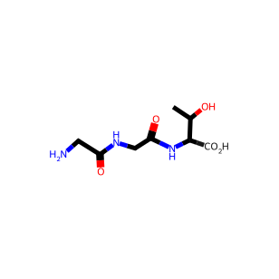 CC(O)C(NC(=O)CNC(=O)CN)C(=O)O